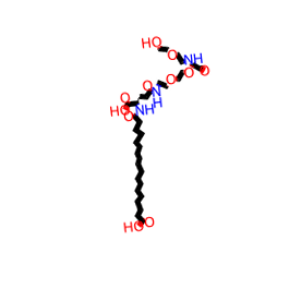 O=CC(NCCOCCO)OCCOCCNC(=O)CC[C@H](NC(=O)CCCCCCCCCCCCCCCCC(=O)O)C(=O)O